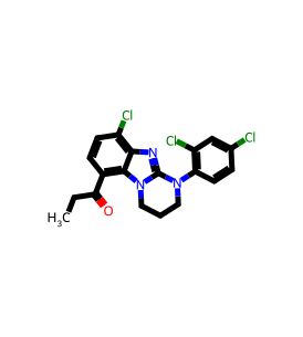 CCC(=O)c1ccc(Cl)c2nc3n(c12)CCCN3c1ccc(Cl)cc1Cl